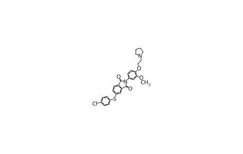 COc1cc(N2C(=O)c3ccc(Sc4ccc(Cl)cc4)cc3C2=O)ccc1OCCN1CCCC1